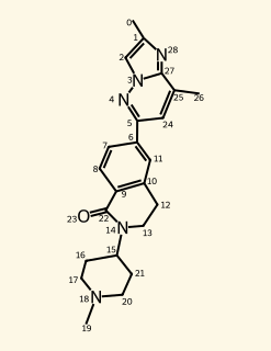 Cc1cn2nc(-c3ccc4c(c3)CCN(C3CCN(C)CC3)C4=O)cc(C)c2n1